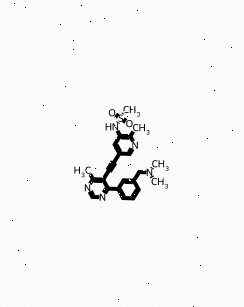 Cc1ncc(C#Cc2c(C)ncnc2-c2cccc(CN(C)C)c2)cc1NS(C)(=O)=O